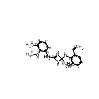 C=Cc1cccc(Cl)c1OC1(C)N=C(Nc2cccc(C)c2OC)S1